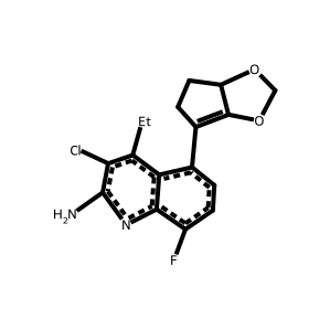 CCc1c(Cl)c(N)nc2c(F)ccc(C3=C4OCOC4CC3)c12